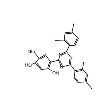 Cc1ccc(-c2nc(-c3ccc(C)cc3C)nc(-c3cc(C(C)(C)C)c(O)cc3O)n2)c(C)c1